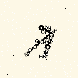 C[N+](C)(C)CCOCCOCCC(=O)NCCCCC[C@H]1c2c([nH]c3nnc(-c4ccccc4O)cc23)CCN1c1ncc(C2CCN(C3CC4(CNC4)C3)CC2)cn1